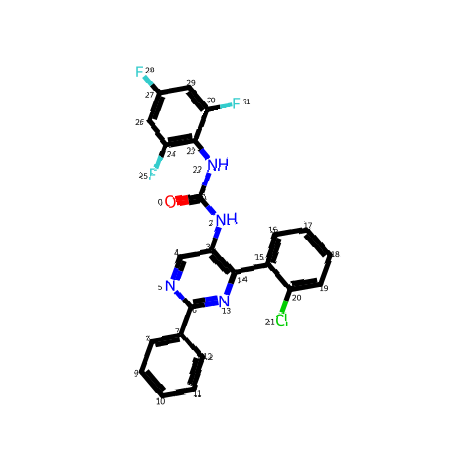 O=C(Nc1cnc(-c2ccccc2)nc1-c1ccccc1Cl)Nc1c(F)cc(F)cc1F